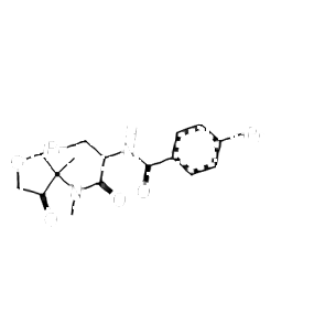 CC(C)CC(NC(=O)c1ccc(C(C)C)cc1)C(=O)N(C)C1(C)COCC1=O